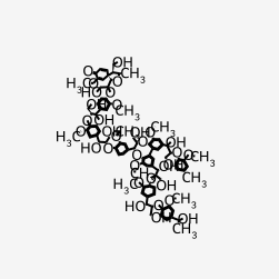 COC1=C[C@]2(C=CC1=O)C(C(CO)Oc1ccc(C(O)[C@H](CO)Oc3ccc(C(O)C(CO)Oc4ccc(C5Oc6c(OC)cc(C(O)C(CO)Oc7ccc(C(O)C(CO)Oc8ccc(C(C)O)cc8OC)cc7OC)cc6-c6cc(C(O)C(CO)Oc7ccc(C)cc7OC)cc(OC)c6OC5CO)cc4OC)cc3OC)cc1OC)OC(C)[C@@H]2CO